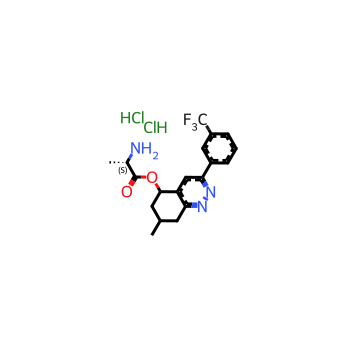 CC1Cc2nnc(-c3cccc(C(F)(F)F)c3)cc2C(OC(=O)[C@H](C)N)C1.Cl.Cl